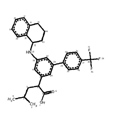 CC(C)CC(C(=O)O)c1cc(NC2CCCc3ccccc32)cc(-c2ccc(C(F)(F)F)cc2)c1